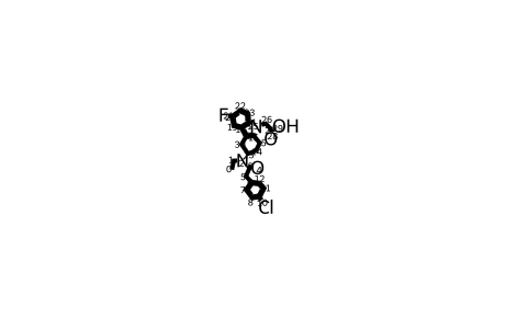 CCN(C(=O)Cc1ccc(Cl)cc1)[C@H]1CCc2c(c3cc(F)ccc3n2CC(=O)O)C1